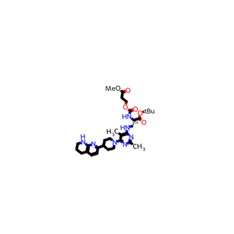 COC(=O)CCOC(=O)N[C@@H](CNc1nc(C)nc(N2CCC(c3ccc4c(n3)NCCC4)CC2)c1C)C(=O)OC(C)(C)C